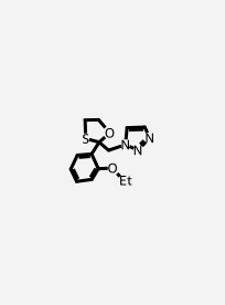 CCOc1ccccc1C1(Cn2ccnn2)OCCS1